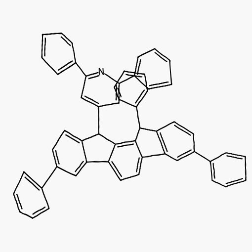 c1ccc(-c2ccc3c(c2)-c2ccc4c(c2C3c2ccccc2)C(c2cc(-c3ccccc3)nc(-c3ccccc3)c2)c2ccc(-c3ccccc3)cc2-4)cc1